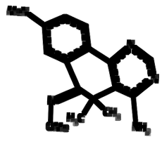 CNc1ccc2c(c1)C(=NOC)C(C)(C)c1c(N)ncnc1-2